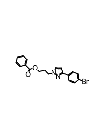 O=C(OCCCn1ccc(-c2ccc(Br)cc2)n1)c1ccccc1